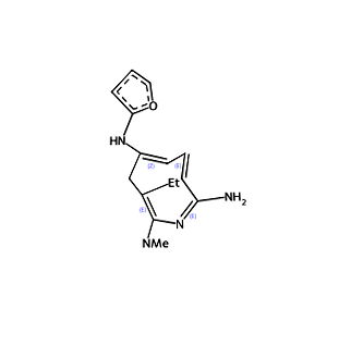 CC\C1=C(NC)/N=C(N)\C=C\C=C(/Nc2ccco2)C1